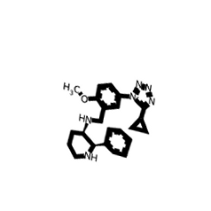 COc1ccc(-n2nnnc2C2CC2)cc1CN[C@@H]1CCCN[C@@H]1c1ccccc1